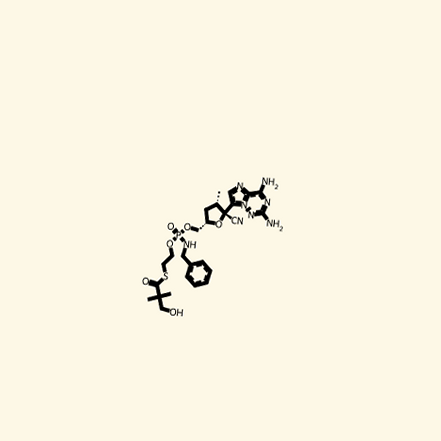 C[C@H]1C[C@@H](COP(=O)(NCc2ccccc2)OCCSC(=O)C(C)(C)CO)O[C@@]1(C#N)c1cnc2c(N)nc(N)nn12